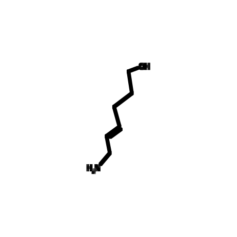 NCC=CCCCO